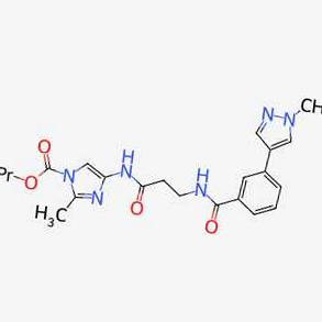 Cc1nc(NC(=O)CCNC(=O)c2cccc(-c3cnn(C)c3)c2)cn1C(=O)OC(C)C